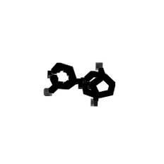 NC1[C@@H]2CC[C@H]1CN(c1ccnc(Cl)c1)C2